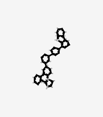 c1cc(-c2ccc(-c3cccc4c3oc3ccccc34)cc2)cc(-c2ccc3c(c2)c2ccccc2c2nccn32)c1